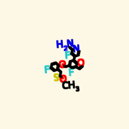 CCOC(=S)Cc1cc(F)ccc1OCc1cc(-c2ccnc(CN)c2F)c2occc2c1F